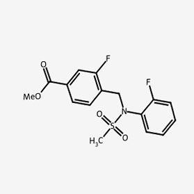 COC(=O)c1ccc(CN(c2ccccc2F)S(C)(=O)=O)c(F)c1